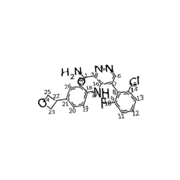 NC(=O)c1nncc(-c2c(F)cccc2Cl)c1Nc1ccc(C2COC2)cc1